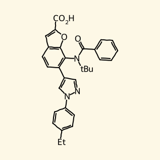 CCc1ccc(-n2cc(-c3ccc4cc(C(=O)O)oc4c3N(C(=O)c3ccccc3)C(C)(C)C)cn2)cc1